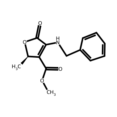 COC(=O)C1=C(NCc2ccccc2)C(=O)O[C@@H]1C